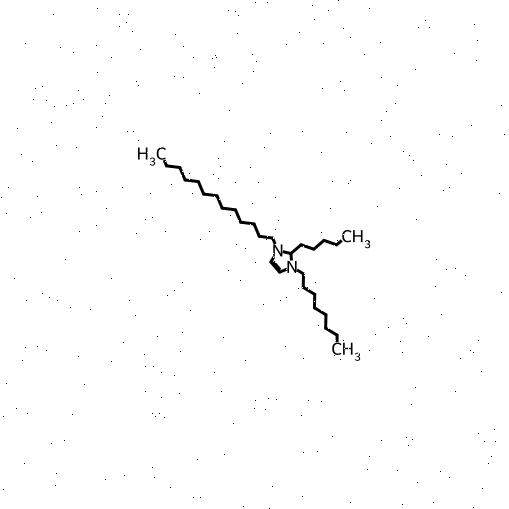 CCCCCCCCCCCCCN1C=CN(CCCCCCCC)C1CCCCC